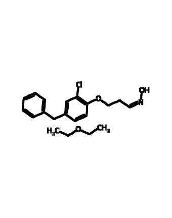 CCOCC.O/N=C\CCOc1ccc(Cc2ccccc2)cc1Cl